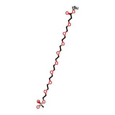 CC(C)(C)OC(=O)CCOCCOCCOCCOCCOCCOCCOCCOCCOS(C)(=O)=O